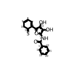 O=C(Nc1oc(C2=CC=CCC2=S)c(O)c1O)c1ccccc1